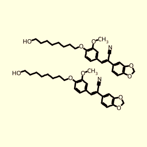 COc1cc(/C=C(\C#N)c2ccc3c(c2)OCO3)ccc1OCCCCCCCCO.COc1cc(/C=C(\C#N)c2ccc3c(c2)OCO3)ccc1OCCCCCCCCO